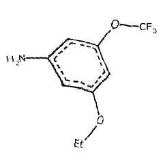 CCOc1cc(N)cc(OC(F)(F)F)c1